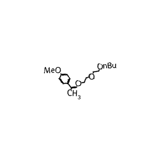 CCCCOCCOCCO/C=C(/C)c1ccc(OC)cc1